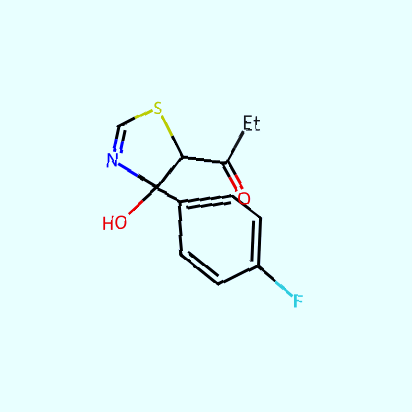 CCC(=O)C1SC=NC1(O)c1ccc(F)cc1